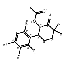 CC(=O)ON1C(=O)C(C)(C)CCC1c1c(Br)cc(F)c(F)c1F